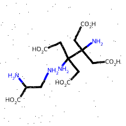 NC(CC(=O)O)(CC(=O)O)C(N)(CC(=O)O)CC(=O)O.NCC(N)C(=O)O